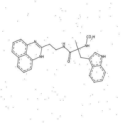 CC(Cc1c[nH]c2ccccc12)(NC(=O)O)C(=O)NCCC1=Nc2cccc3cccc(c23)N1